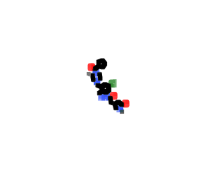 Cc1c(CN2CCN(C(=O)C3CCCC3)[C@@H](C)C2)cc(Cl)cc1NC(=O)C[C@H]1CC(=O)N(C)C1